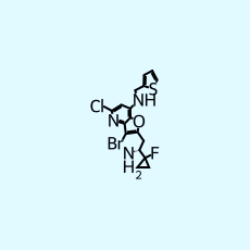 N[C@H](Cc1oc2c(NCc3cccs3)cc(Cl)nc2c1Br)C1(F)CC1